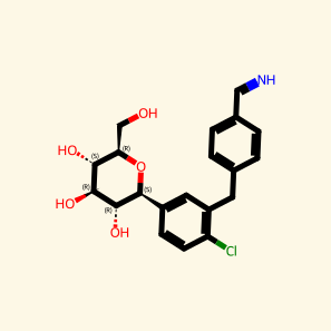 N=Cc1ccc(Cc2cc([C@@H]3O[C@H](CO)[C@@H](O)[C@H](O)[C@H]3O)ccc2Cl)cc1